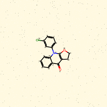 O=c1c2c(n(-c3cccc(Cl)c3)c3ccccc13)OCC2